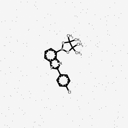 CC1(C)OB(c2cccc3sc(-c4ccc(Cl)cc4)nc23)OC1(C)C